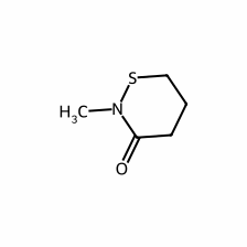 CN1SCCCC1=O